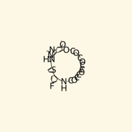 COc1cc2nc(C)nc3c2cc1OCCOCCOCCOCCOCCNCc1cc(F)ccc1-c1ccc(s1)C(C)N3